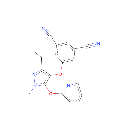 CCc1nn(C)c(Oc2ccccn2)c1Oc1cc(C#N)cc(C#N)c1